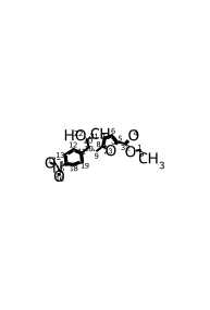 CCOC(=O)c1ccc(C[C@H](c2ccc([N+](=O)[O-])cc2)[C@H](C)O)o1